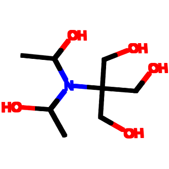 CC(O)N(C(C)O)C(CO)(CO)CO